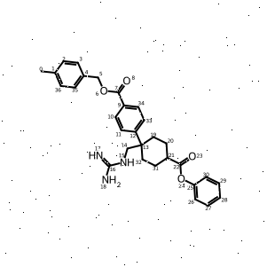 Cc1ccc(COC(=O)c2ccc(C3(CNC(=N)N)CCC(C(=O)Oc4ccccc4)CC3)cc2)cc1